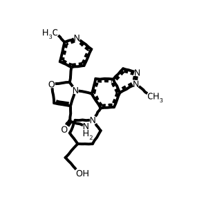 Cc1cc(C2OC=C(C(N)=O)N2c2cc3cnn(C)c3cc2N2CCC(CO)CC2)ccn1